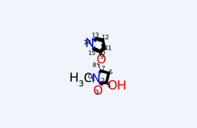 CN1C(=O)[C@H](O)C[C@H]1COc1cccnc1